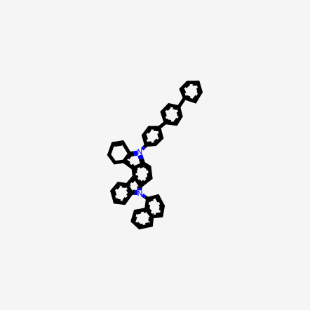 C1=Cc2c(c3c4c5ccccc5n(-c5cccc6ccccc56)c4ccc3n2-c2ccc(-c3ccc(-c4ccccc4)cc3)cc2)CC1